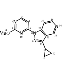 COc1nccc(-n2nc(C3CC3)c3cnccc32)n1